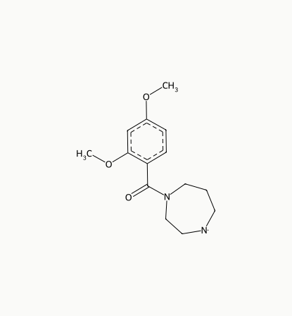 COc1ccc(C(=O)N2CCC[N]CC2)c(OC)c1